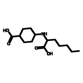 CCCCCC(NC1CCC(C(=O)O)CC1)C(=O)O